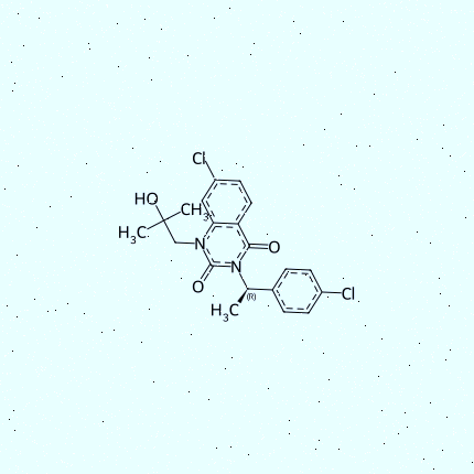 C[C@H](c1ccc(Cl)cc1)n1c(=O)c2ccc(Cl)cc2n(CC(C)(C)O)c1=O